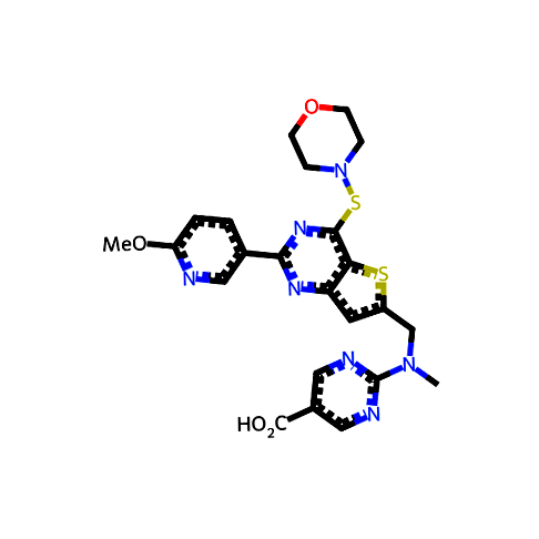 COc1ccc(-c2nc(SN3CCOCC3)c3sc(CN(C)c4ncc(C(=O)O)cn4)cc3n2)cn1